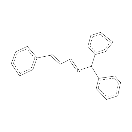 C(=Cc1ccccc1)C=NC(c1ccccc1)c1ccccc1